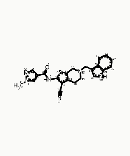 Cn1cc(C(=O)Nc2sc3c(c2C#N)CCN(Cc2c[nH]c4ccccc24)C3)cn1